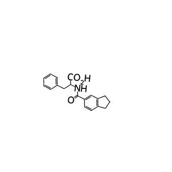 O=C(NC(Cc1ccccc1)C(=O)O)c1ccc2c(c1)CCC2